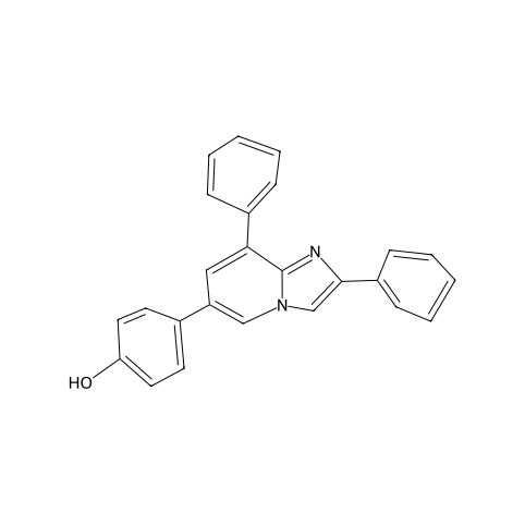 Oc1ccc(-c2cc(-c3ccccc3)c3nc(-c4ccccc4)cn3c2)cc1